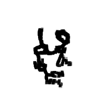 Cc1nc(-c2ccccc2)cn1Cc1cc(C#N)ccc1-n1cc(C(O)CN)cn1